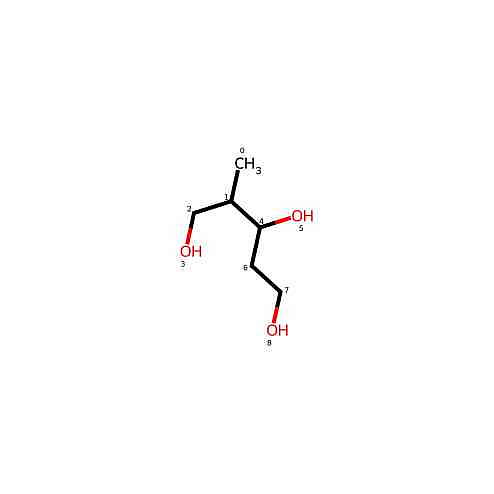 CC(CO)C(O)CCO